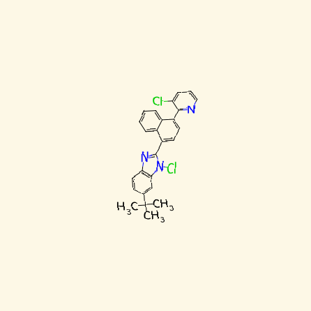 CC(C)(C)c1ccc2nc(-c3ccc(-c4ncccc4Cl)c4ccccc34)n(Cl)c2c1